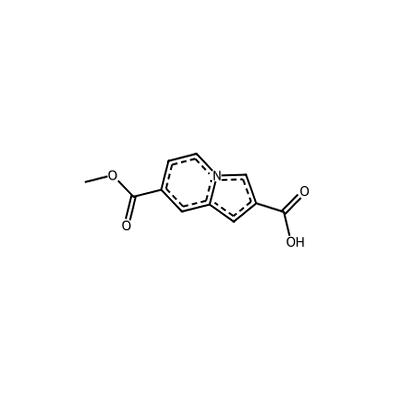 COC(=O)c1ccn2cc(C(=O)O)cc2c1